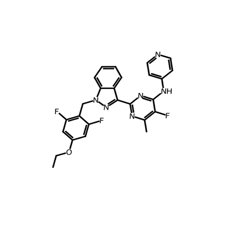 CCOc1cc(F)c(Cn2nc(-c3nc(C)c(F)c(Nc4ccncc4)n3)c3ccccc32)c(F)c1